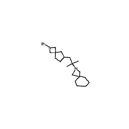 CC(C)N1CC2(CCC(CC(C)(C)N3CC4(CCCCC4)C3)C2)C1